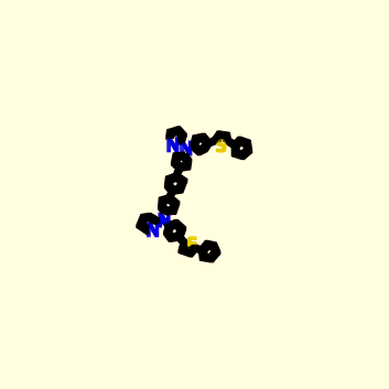 c1ccc(-c2ccc(-c3ccc(N(c4ccc(-c5ccc(-c6ccc(N(c7ccc(-c8ccc(-c9ccccc9)s8)cc7)c7ccccn7)cc6)cc5)cc4)c4ccccn4)cc3)s2)cc1